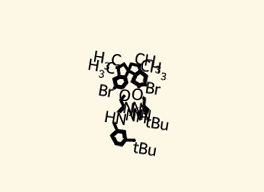 CC(C)(C)Cc1cccc(CN/C=C(/COc2cc3c(cc2Br)C(C)(C)CC32CC(C)(C)c3cc(Br)c(OCc4cn(C(C)(C)C)nn4)cc32)N=N)c1